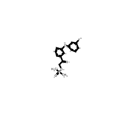 CP(C)(=O)OCC(=O)c1cccc(Oc2cccc(F)c2)c1